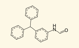 O=CNc1cccc(C(c2ccccc2)c2ccccc2)c1